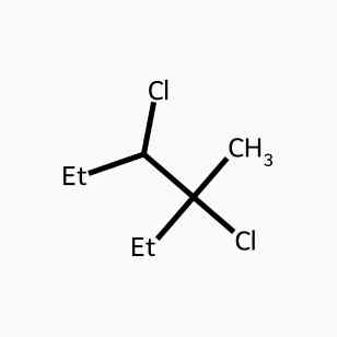 CCC(Cl)C(C)(Cl)CC